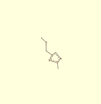 Cc1ncc(COI)s1